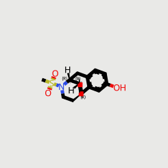 CS(=O)(=O)N1CC[C@]23CCCC[C@H]2[C@H]1Cc1ccc(O)cc13